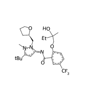 CCC(C)(O)COc1ccc(C(F)(F)F)cc1C(=O)/N=c1\cc(C(C)(C)C)n(C)n1C[C@H]1CCCO1